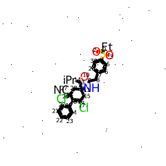 CCS(=O)(=O)c1ccc(CC(=O)NC2(CC(C)C)CC(Cl)=C(c3ccccc3)C(Cl)(C#N)C2)cc1